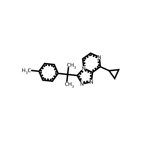 Cc1ccc(C(C)(C)c2nnc3c(C4CC4)nccn23)cc1